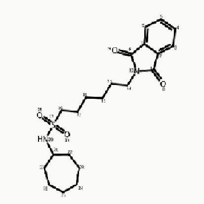 O=C1c2ccccc2C(=O)N1CCCCCCS(=O)(=O)NC1CCCCCC1